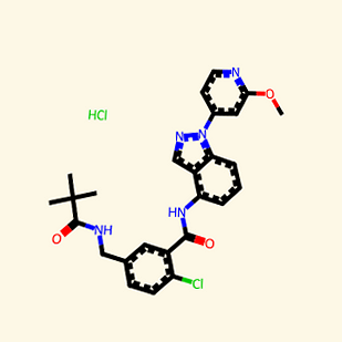 COc1cc(-n2ncc3c(NC(=O)c4cc(CNC(=O)C(C)(C)C)ccc4Cl)cccc32)ccn1.Cl